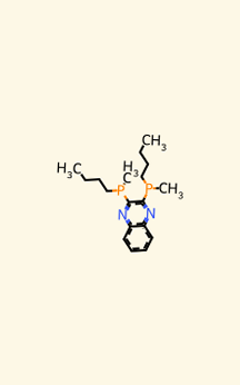 CCCCP(C)c1nc2ccccc2nc1P(C)CCCC